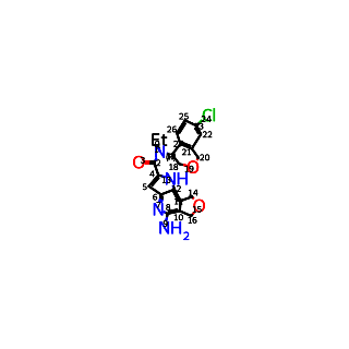 CCN(C(=O)c1cc2nc(N)c3c(c2[nH]1)COC3)[C@H]1COCc2cc(Cl)ccc21